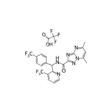 Cc1cc(C)n2nc(C(=O)NC(c3ccc(C(F)(F)F)cc3)c3ncccc3C(F)(F)F)nc2n1.O=C(O)C(F)(F)F